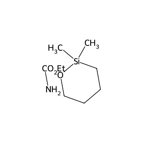 CCOC(N)=O.C[Si]1(C)CCCCO1